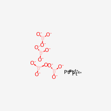 [O-]B([O-])[O-].[O-]B([O-])[O-].[O-]B([O-])[O-].[O-]B([O-])[O-].[Pt+4].[Pt+4].[Pt+4]